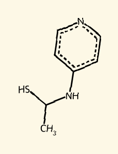 CC(S)Nc1ccncc1